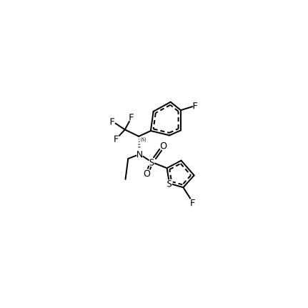 CCN([C@@H](c1ccc(F)cc1)C(F)(F)F)S(=O)(=O)c1ccc(F)s1